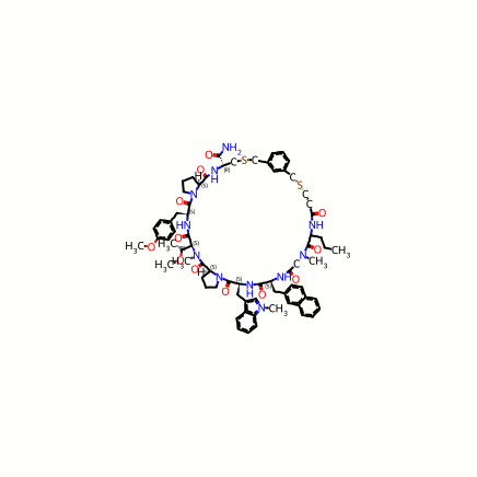 CCCC1NC(=O)CCSCc2cccc(c2)CSC[C@@H](C(N)=O)NC(=O)[C@@H]2CCCN2C(=O)[C@H](Cc2ccc(OC)cc2)NC(=O)[C@H]([C@@H](C)OC)N(C)C(=O)[C@@H]2CCCN2C(=O)[C@H](Cc2cn(C)c3ccccc23)NC(=O)[C@H](Cc2ccc3ccccc3c2)NC(=O)CN(C)C1=O